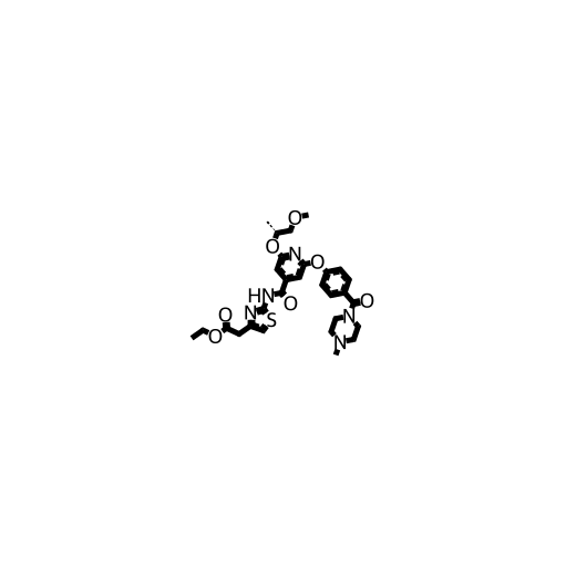 CCOC(=O)Cc1csc(NC(=O)c2cc(Oc3ccc(C(=O)N4CCN(C)CC4)cc3)nc(O[C@H](C)COC)c2)n1